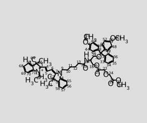 CC[N+]1=C(/C=C/C=C2/N(CCCCCC(=O)NC(COC(=O)COCC(=O)OC)COC(c3ccccc3)(c3ccc(OC)cc3)c3ccc(OC)cc3)c3ccccc3C2(C)C)C(C)(C)c2ccccc21